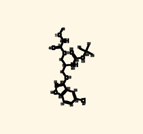 CONC(=O)OCC(COc1noc2ccc(Cl)cc12)NC(=O)OC(C)(C)C